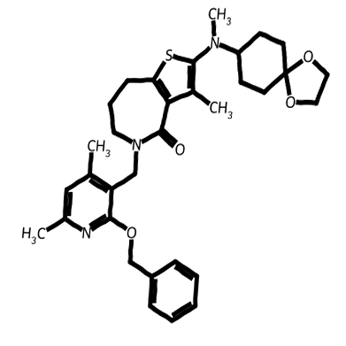 Cc1cc(C)c(CN2CCCc3sc(N(C)C4CCC5(CC4)OCCO5)c(C)c3C2=O)c(OCc2ccccc2)n1